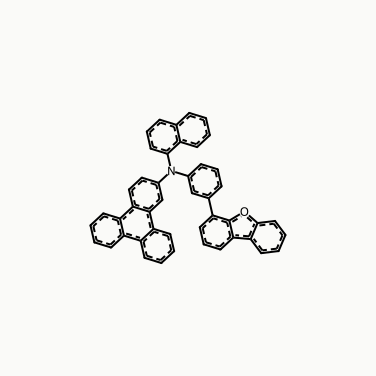 c1cc(-c2cccc3c2oc2ccccc23)cc(N(c2ccc3c4ccccc4c4ccccc4c3c2)c2cccc3ccccc23)c1